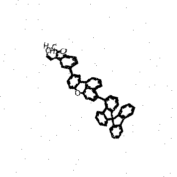 C/C=C\c1c(C)oc2ccc(-c3ccc4c(c3)-c3cccc5c(-c6cccc7c6-c6ccccc6C76c7ccccc7-c7ccccc76)ccc(c35)O4)cc12